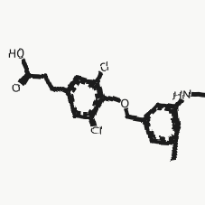 CNc1cc(C)cc(COc2c(Cl)cc(CCC(=O)O)cc2Cl)c1